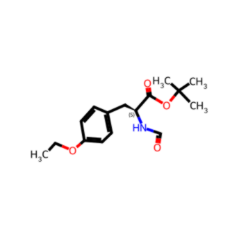 CCOc1ccc(C[C@H](NC=O)C(=O)OC(C)(C)C)cc1